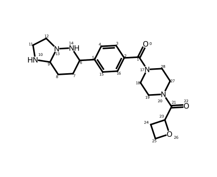 O=C(c1ccc(C2CCC3NCCN3N2)cc1)N1CCN(C(=O)C2CCO2)CC1